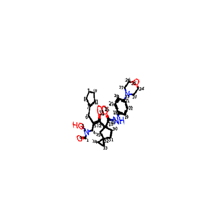 O=CN(O)CC(CC1CCCC1)C(=O)C1(C(=O)Nc2ccc(N3CCOCC3)cc2)CCC2(CC2)C1